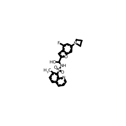 Cc1ccc2cccnc2c1S(=O)(=O)NC(O)c1cc2c(F)cc(N3CCC3)cc2o1